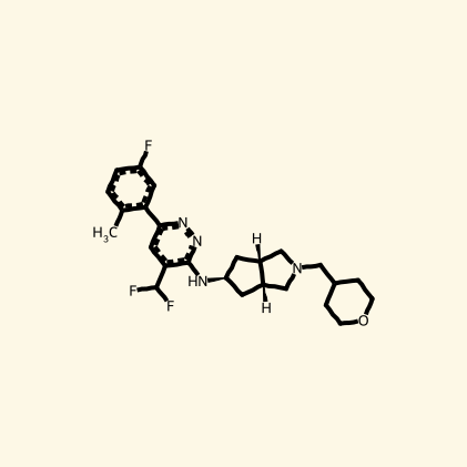 Cc1ccc(F)cc1-c1cc(C(F)F)c(N[C@H]2C[C@@H]3CN(CC4CCOCC4)C[C@@H]3C2)nn1